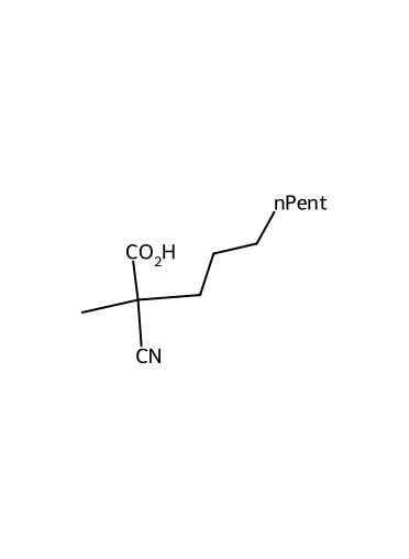 CCCCCCCCC(C)(C#N)C(=O)O